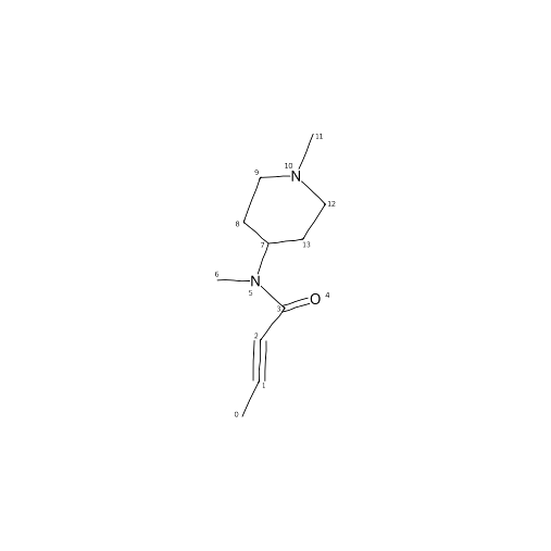 CC#CC(=O)N(C)C1CCN(C)CC1